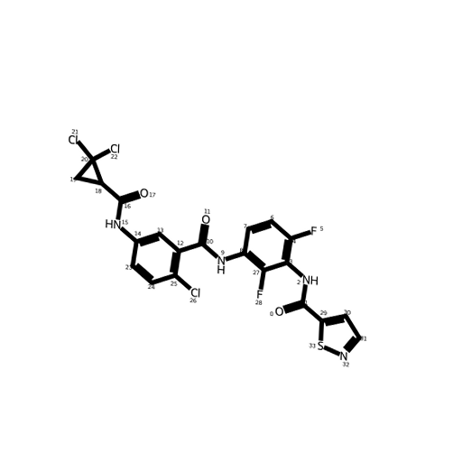 O=C(Nc1c(F)ccc(NC(=O)c2cc(NC(=O)C3CC3(Cl)Cl)ccc2Cl)c1F)c1ccns1